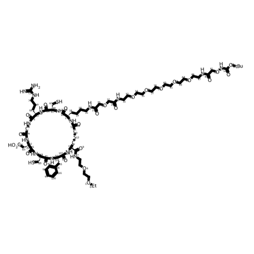 CCOCCOCCNC(=O)[C@@H]1CSCC(=O)N[C@@H](CCCCNC(=O)COCC(=O)NCCOCCOCCOCCOCCOCCNC(=O)CONC(=O)OC(C)(C)C)C(=O)N[C@@H](CS)C(=O)N[C@@H](CCCNC(=N)N)C(=O)NCC(=O)N[C@@H](CC(=O)O)C(=O)N[C@@H](CS)C(=O)N[C@@H](Cc2ccccc2)C(=O)N1